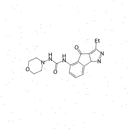 CCC1=C2C(=O)c3c(NC(=O)NN4CCOCC4)cccc3C2N=N1